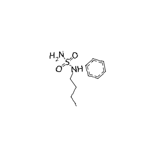 CCCCNS(N)(=O)=O.c1ccccc1